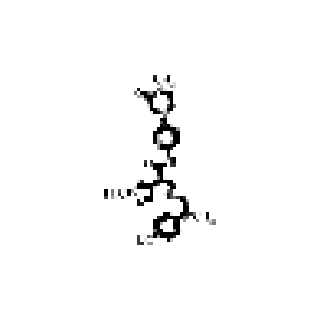 C[C@@H](CNCC(C(=O)Nc1ccc(N2CCN(C)C(=O)C2)cn1)c1cnn(C)c1)c1ccc(C#N)cc1